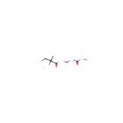 CC(C)CC(C)(C(=O)OCNC(=O)NI)C(C)C